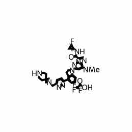 CNc1cc(N2CCc3c(-c4ccc(CN5CC6(CCNCC6)C5)nn4)cccc32)nn2c(C(=O)N[C@@H]3C[C@@H]3F)cnc12.O=C(O)C(F)(F)F